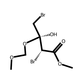 COCO[C@@](O)(CBr)[C@@H](Br)C(=O)OC